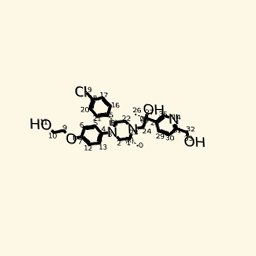 C[C@@H]1CN(c2ccc(OCCO)cc2)[C@H](c2ccc(Cl)cc2)CN1C[C@@](C)(O)c1ccc(CO)nc1